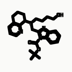 CC(C)(C)OC(=O)n1c(CN(CCCCO)C2CCCc3cccnc32)nc2ccccc21